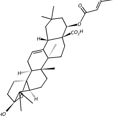 CC(C)=CC(=O)O[C@@H]1CC(C)(C)C[C@H]2C3=CC[C@@H]4[C@]56CC[C@@](O)(OC5)C(C)(C)[C@@H]6CC[C@@]4(C)[C@]3(C)CC[C@@]12C(=O)O